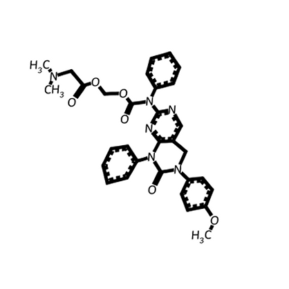 COc1ccc(N2Cc3cnc(N(C(=O)OCOC(=O)CN(C)C)c4ccccc4)nc3N(c3ccccc3)C2=O)cc1